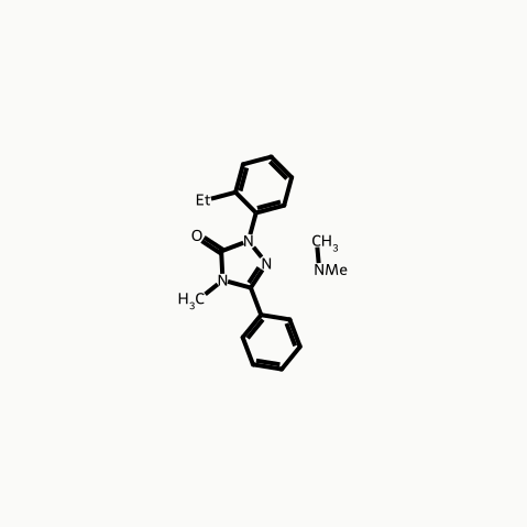 CCc1ccccc1-n1nc(-c2ccccc2)n(C)c1=O.CNC